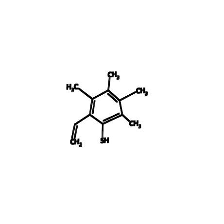 C=Cc1c(C)c(C)c(C)c(C)c1S